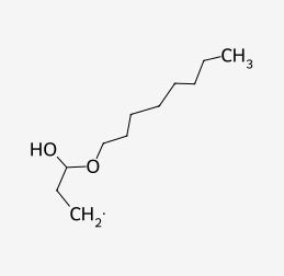 [CH2]CC(O)OCCCCCCCC